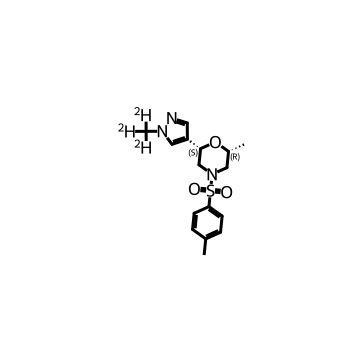 [2H]C([2H])([2H])n1cc([C@H]2CN(S(=O)(=O)c3ccc(C)cc3)C[C@@H](C)O2)cn1